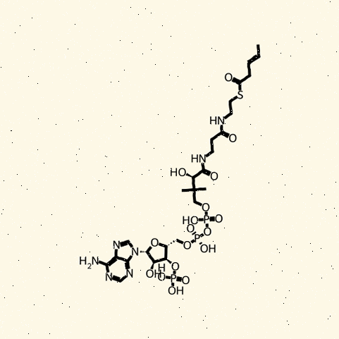 CC=CCC(=O)SCCNC(=O)CCNC(=O)[C@H](O)C(C)(C)COP(=O)(O)OP(=O)(O)OC[C@H]1O[C@@H](n2cnc3c(N)ncnc32)[C@H](O)[C@@H]1OP(=O)(O)O